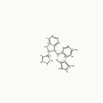 Cc1ccc(OC2c3ccccc3CC2N2CCCC2)c(-c2c(C)noc2C)c1